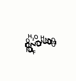 O.O=c1ccc2ncc(F)cc2n1CCN1CCC(NCc2cc3c(cn2)OCCO3)CC1